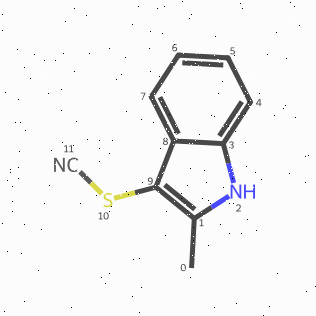 Cc1[nH]c2ccccc2c1SC#N